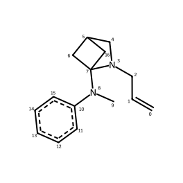 C=CCN1CC2CC1(N(C)c1ccccc1)C2